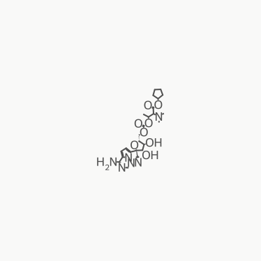 CC(OC(=O)OC[C@H]1O[C@@](C#N)(c2ccc3c(N)ncnn23)[C@H](O)[C@@H]1O)C(C(=O)OC1CCCC1)N(C)C